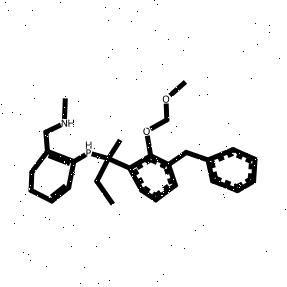 CCC(C)(PC1=C(CNC)CCC=C1)c1cccc(Cc2ccccc2)c1OCOC